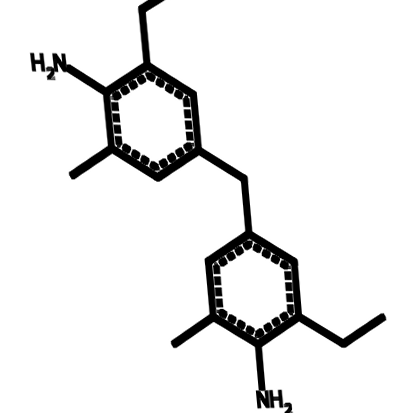 CCc1cc(Cc2cc(C)c(N)c(CC)c2)cc(C)c1N